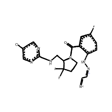 N=C/C=N\Nc1ccc(F)cc1C(=O)N1CCC(F)(I)C1CNc1ncc(Cl)cn1